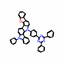 c1ccc(-c2nc(-c3ccccc3)nc(-c3ccc(-n4c5ccc6c7ccccc7oc6c5c5ccc6c(c7ccccc7n6-c6ccccc6)c54)cc3)n2)cc1